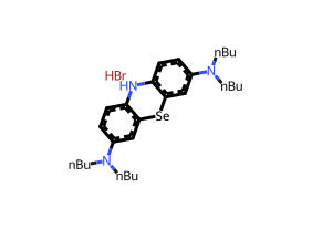 Br.CCCCN(CCCC)c1ccc2c(c1)[Se]c1cc(N(CCCC)CCCC)ccc1N2